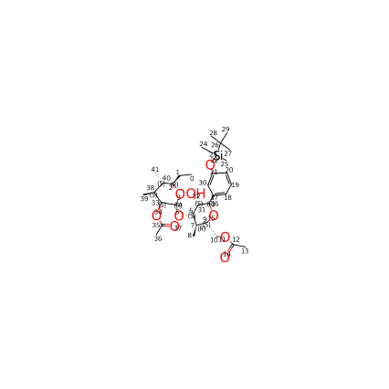 CC[C@H]1O[C@H](O[C@H]2[C@H](C)[C@@H](COC(C)=O)O[C@H](c3cccc(O[Si](C)(C)C(C)(C)C)c3)[C@H]2O)[C@@H](OC(C)=O)[C@@H](C)[C@@H]1C